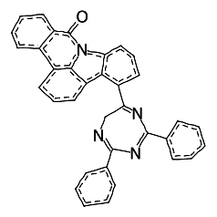 O=c1c2ccccc2c2cccc3c4c(C5=NC(c6ccccc6)=NC(c6ccccc6)=NC5)cccc4n1c23